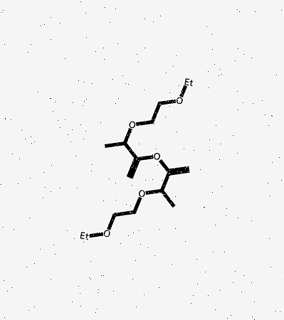 C=C(OC(=C)C(C)OCCOCC)C(C)OCCOCC